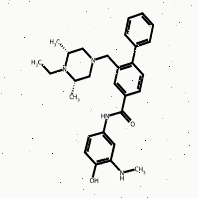 CCN1[C@H](C)CN(Cc2cc(C(=O)Nc3ccc(O)c(NC)c3)ccc2-c2ccccc2)C[C@@H]1C